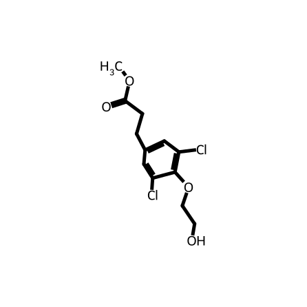 COC(=O)CCc1cc(Cl)c(OCCO)c(Cl)c1